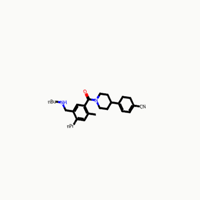 CCCCNCc1cc(C(=O)N2CCC(C3=CC=C(C#N)CC3)CC2)c(C)cc1CCC